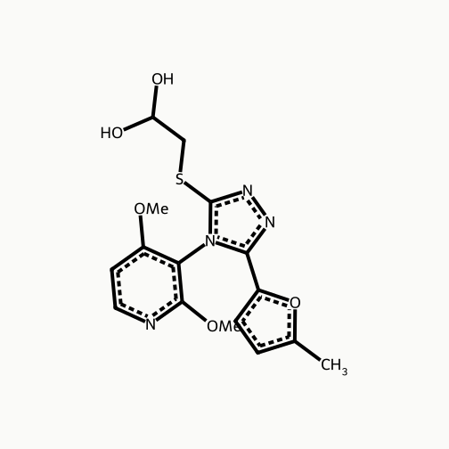 COc1ccnc(OC)c1-n1c(SCC(O)O)nnc1-c1ccc(C)o1